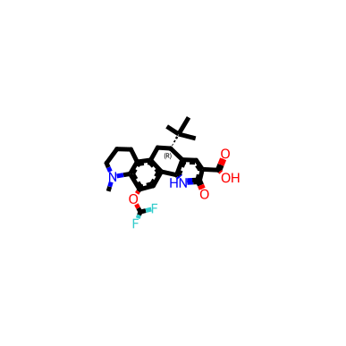 CN1CCCc2c3c(cc(OC(F)F)c21)-c1[nH]c(=O)c(C(=O)O)cc1[C@@H](C(C)(C)C)C3